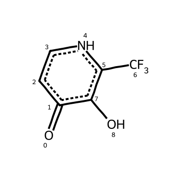 O=c1cc[nH]c(C(F)(F)F)c1O